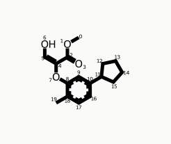 COC(=O)C(=CO)Oc1cc(C2CCCC2)ccc1C